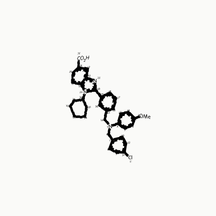 COc1ccc(N(Cc2ccc(Cl)cc2)Cc2cccc(-c3nc4cc(C(=O)O)ccc4n3C3CCCCC3)c2)cc1